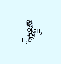 Cc1ccc(N(C)C(=O)CN2CCOCC2)nc1